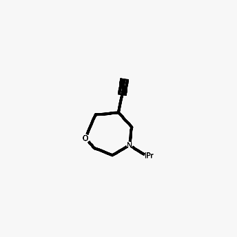 C#CC1COCCN(C(C)C)C1